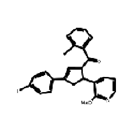 COc1ncccc1C1CC(c2ccc(F)cc2)=CC1C(=O)c1ccccc1C